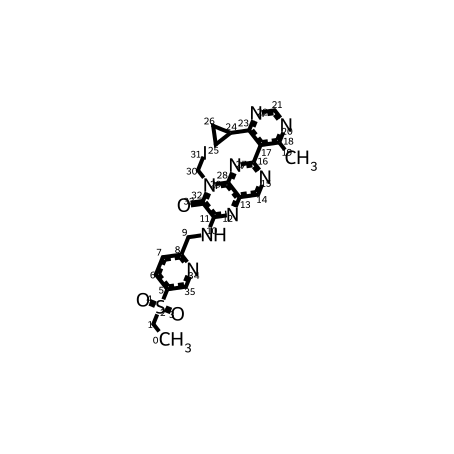 CCS(=O)(=O)c1ccc(CNc2nc3cnc(-c4c(C)ncnc4C4CC4)nc3n(CI)c2=O)nc1